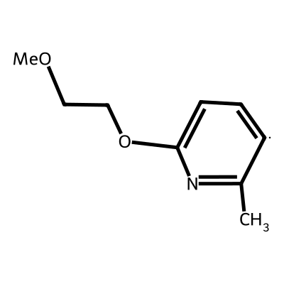 COCCOc1cc[c]c(C)n1